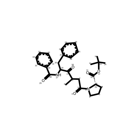 CC(CC(=O)N1CCC[C@H]1C(=O)OC(C)(C)C)C(=O)C(Cc1ccccc1)NC(=O)c1ccccc1